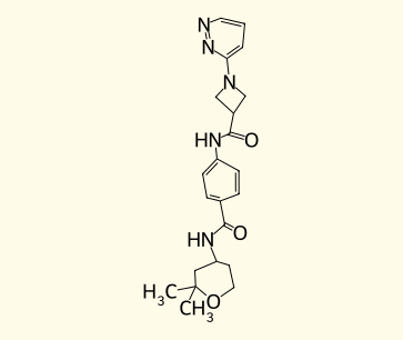 CC1(C)CC(NC(=O)c2ccc(NC(=O)C3CN(c4cccnn4)C3)cc2)CCO1